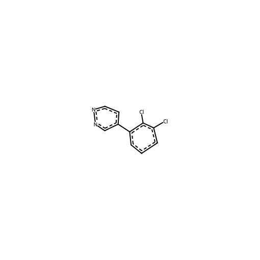 Clc1cccc(-c2ccnnc2)c1Cl